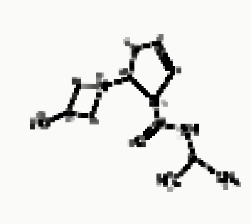 CC(C)NC(=O)N1C=CSC1N1CC(O)C1